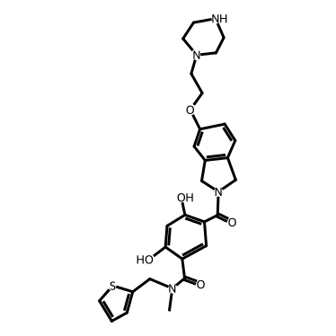 CN(Cc1cccs1)C(=O)c1cc(C(=O)N2Cc3ccc(OCCN4CCNCC4)cc3C2)c(O)cc1O